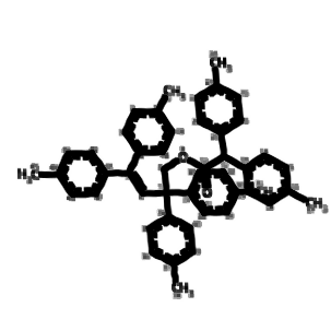 Cc1ccc(C(=CC(COC(=O)C(c2ccc(C)cc2)c2ccc(C)cc2)(c2ccc(C)cc2)c2ccc(C)cc2)c2ccc(C)cc2)cc1